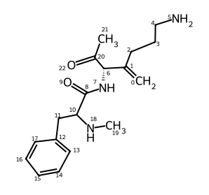 C=C(CCCN)[C@H](NC(=O)C(Cc1ccccc1)NC)C(C)=O